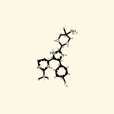 CN(C)c1nccc(-c2[nH]c(C3OCC(C)(N)CO3)nc2-c2ccc(F)cc2)n1